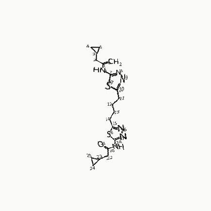 C=C(CC1CC1)Nc1nnc(CCCCc2nnc(NC(=O)CC3CC3)s2)s1